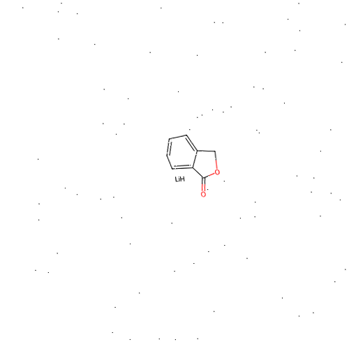 O=C1OCc2ccccc21.[LiH]